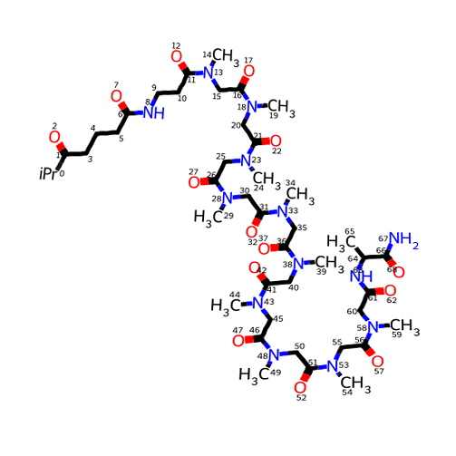 CC(C)C(=O)CCCC(=O)NCCC(=O)N(C)CC(=O)N(C)CC(=O)N(C)CC(=O)N(C)CC(=O)N(C)CC(=O)N(C)CC(=O)N(C)CC(=O)N(C)CC(=O)N(C)CC(=O)N(C)CC(=O)NC(C)C(N)=O